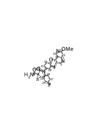 COc1cc2nccc(Oc3ccc(N(C(=O)C4(C(N)=O)CC4)c4ccc(F)cc4)cc3F)c2cn1